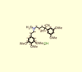 COc1cc(OC)cc(C(C#N)(CCCN(C)CCc2cc(OC)c(OC)c(OC)c2)C(C)C)c1.Cl